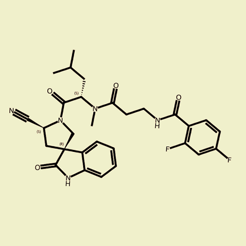 CC(C)C[C@@H](C(=O)N1C[C@]2(C[C@H]1C#N)C(=O)Nc1ccccc12)N(C)C(=O)CCNC(=O)c1ccc(F)cc1F